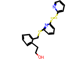 OCCc1ccccc1CSc1cccc(SSc2ccccn2)n1